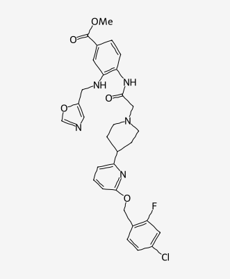 COC(=O)c1ccc(NC(=O)CN2CCC(c3cccc(OCc4ccc(Cl)cc4F)n3)CC2)c(NCc2cnco2)c1